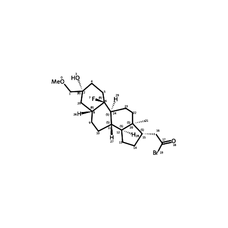 COC[C@@]1(O)CC[C@@]2(F)[C@H](CC[C@H]3[C@@H]4CC[C@@H](CC(=O)Br)[C@]4(C)CC[C@@H]32)C1